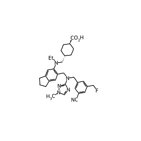 CCN(C[C@H]1CC[C@H](C(=O)O)CC1)c1cc2c(cc1CN(Cc1cc(C#N)cc(CF)c1)c1ncn(C)n1)CCC2